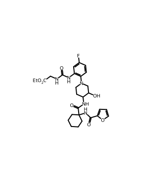 CCOC(=O)CNC(=O)Nc1cc(F)ccc1N1CCC(NC(=O)C2(NC(=O)c3ccco3)CCCCC2)C(O)C1